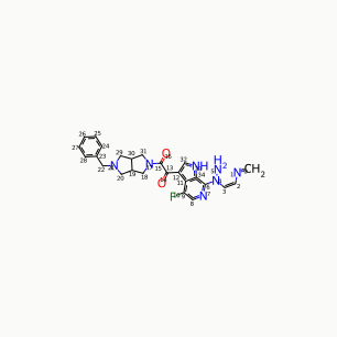 C=N/C=C\N(N)c1ncc(F)c2c(C(=O)C(=O)N3CC4CN(Cc5ccccc5)CC4C3)c[nH]c12